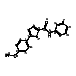 CC(C)Oc1ccc(-c2ccc(C(=O)Nc3cccnc3)s2)cc1